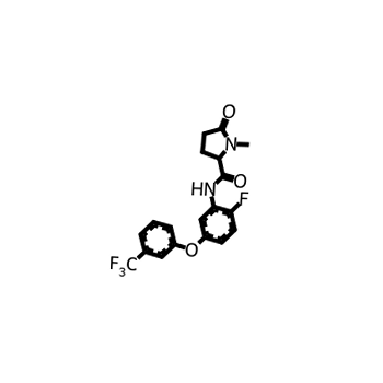 CN1C(=O)CCC1C(=O)Nc1cc(Oc2cccc(C(F)(F)F)c2)ccc1F